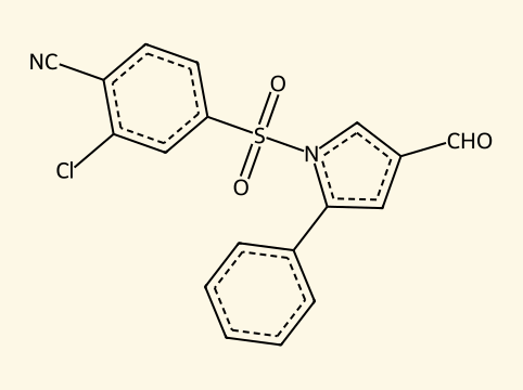 N#Cc1ccc(S(=O)(=O)n2cc(C=O)cc2-c2ccccc2)cc1Cl